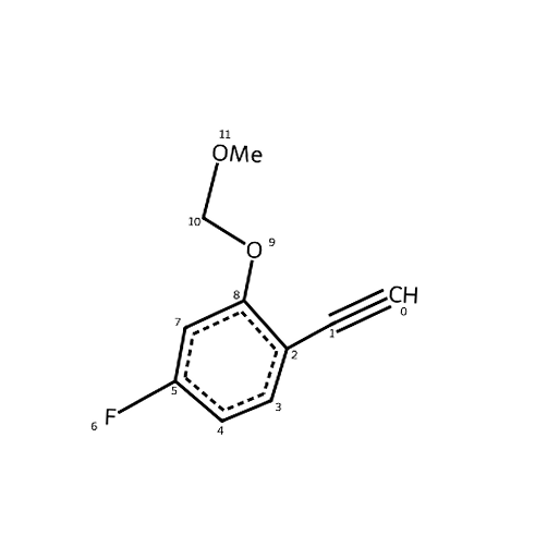 C#Cc1ccc(F)cc1OCOC